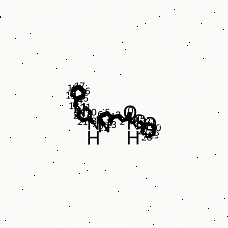 O=C(C=Cc1ccc(NC2CCN(Cc3ccccc3)CC2)nc1)NOC1CCCCO1